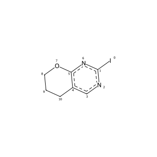 Ic1ncc2c(n1)OCCC2